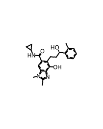 Cc1ccccc1[C@H](O)CCc1c(C(=O)NC2CC2)cc2c(nc(C)n2C)c1O